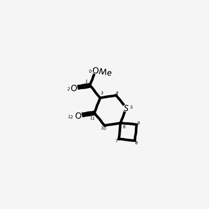 COC(=O)C1CSC2(CCC2)CC1=O